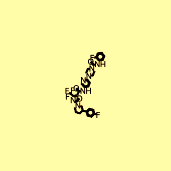 O=C(Nc1ccc(N2CCN(C(=O)Nc3ccccc3F)CC2)nc1)c1oc(N2CCCC(c3ccc(F)cc3)C2)nc1C(F)(F)F